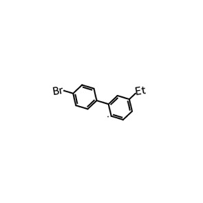 CCc1cc[c]c(-c2ccc(Br)cc2)c1